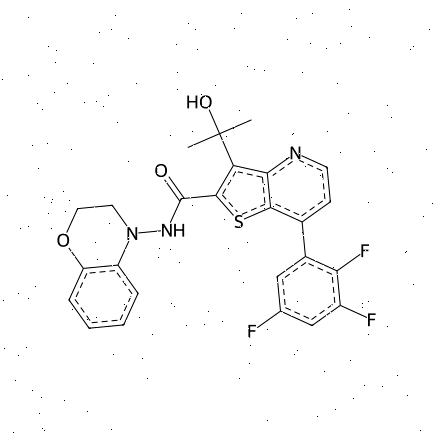 CC(C)(O)c1c(C(=O)NN2CCOc3ccccc32)sc2c(-c3cc(F)cc(F)c3F)ccnc12